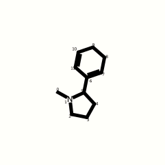 CN1CCCC1C1=CCCC=C1